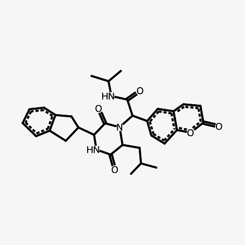 CC(C)CC1C(=O)NC(C2Cc3ccccc3C2)C(=O)N1C(C(=O)NC(C)C)c1ccc2oc(=O)ccc2c1